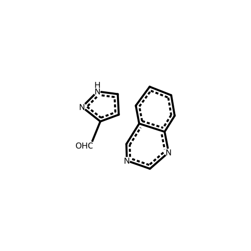 O=Cc1cc[nH]n1.c1ccc2ncncc2c1